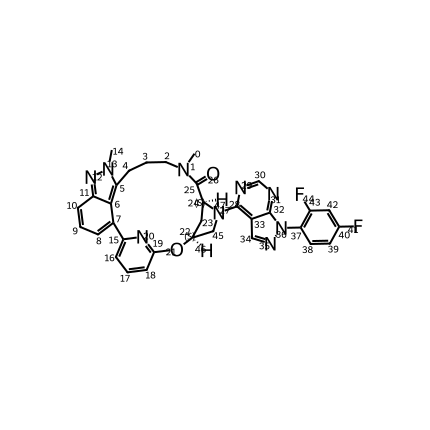 CN1CCCc2c3c(cccc3nn2C)-c2cccc(n2)O[C@H]2C[C@@H](C1=O)N(c1ncnc3c1cnn3-c1ccc(F)cc1F)C2